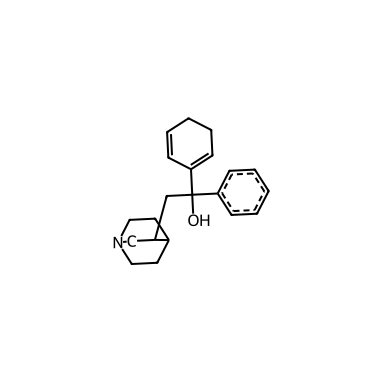 OC(CC1CN2CCC1CC2)(C1=CCCC=C1)c1ccccc1